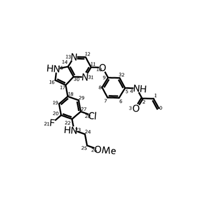 C=CC(=O)Nc1cccc(Oc2cnc3[nH]cc(-c4cc(F)c(NCCOC)c(Cl)c4)c3n2)c1